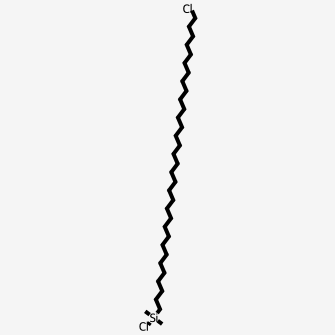 C[Si](C)(Cl)CCCCCCCCCCCCCCCCCCCCCCCCCCCCCCCCCCl